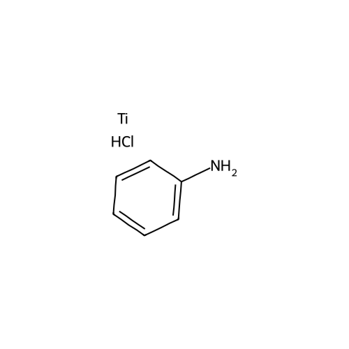 Cl.Nc1ccccc1.[Ti]